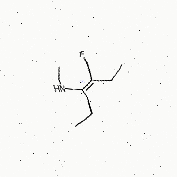 CC/C(F)=C(\CC)NC